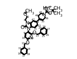 COCCn1c(=O)n(-c2ccc(OCc3ccccc3)nc2OCc2ccccc2)c2ccc(C3=CCN(C(=O)OC(C)(C)C)CC3)cc21